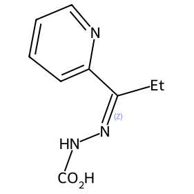 CC/C(=N/NC(=O)O)c1ccccn1